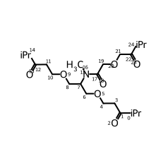 CC(C)C(=O)CCOCC(COCCC(=O)C(C)C)N(C)C(=O)COCC(=O)C(C)C